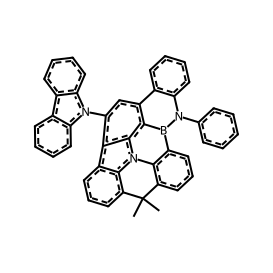 CC1(C)c2cccc3c2-n2c4c1cccc4c1c(-n4c5ccccc5c5ccccc54)cc4c(c12)B3N(c1ccccc1)c1ccccc1-4